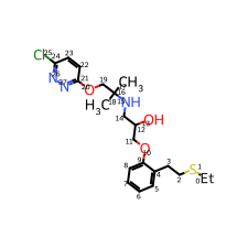 CCSCCc1ccccc1OCC(O)CNC(C)(C)COc1ccc(Cl)nn1